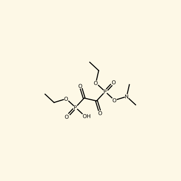 CCOP(=O)(O)C(=O)C(=O)P(=O)(OCC)ON(C)C